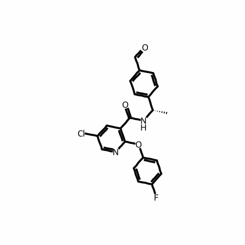 C[C@H](NC(=O)c1cc(Cl)cnc1Oc1ccc(F)cc1)c1ccc(C=O)cc1